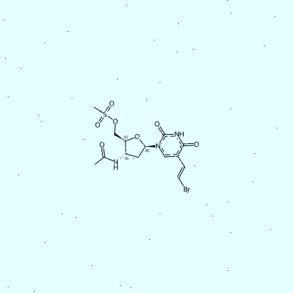 CC(=O)N[C@H]1C[C@H](n2cc(C=CBr)c(=O)[nH]c2=O)O[C@@H]1COS(C)(=O)=O